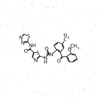 COc1ccccc1C(=O)c1cc(C)ccc1NC(=O)Nc1ncc(C(=O)Nc2nncs2)s1